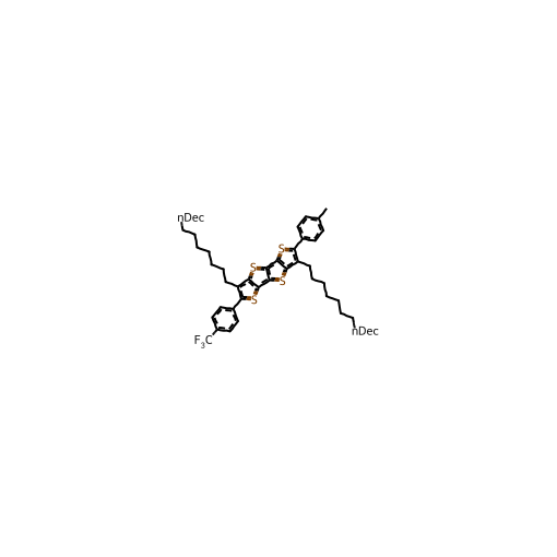 CCCCCCCCCCCCCCCCCc1c(-c2ccc(C)cc2)sc2c1sc1c3sc(-c4ccc(C(F)(F)F)cc4)c(CCCCCCCCCCCCCCCCC)c3sc21